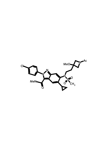 CNC(=O)c1c2cc(C3CC3)c(N(CCC3(OC)CN(C(C)=O)C3)S(C)(=O)=O)cc2nn1-c1ccc(Cl)cc1